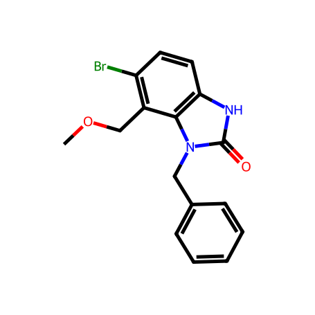 COCc1c(Br)ccc2[nH]c(=O)n(Cc3ccccc3)c12